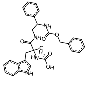 CC(Cc1c[nH]c2ccccc12)(NC(=O)O)C(=O)NCC(NC(=O)OCc1ccccc1)c1ccccc1